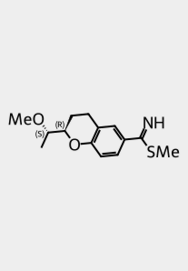 CO[C@@H](C)[C@H]1CCc2cc(C(=N)SC)ccc2O1